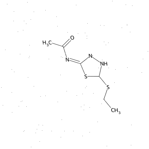 CCSC1N[N]C(=NC(C)=O)S1